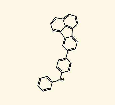 c1ccc(Nc2ccc(-c3ccc4c(c3)-c3cccc5cccc-4c35)cc2)cc1